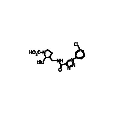 CC(C)(C)C1C(CNC(=O)c2cn(-c3cccc(Cl)c3)nn2)CCN1C(=O)O